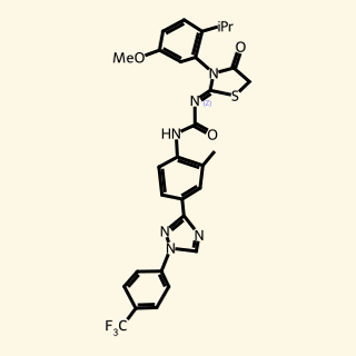 COc1ccc(C(C)C)c(N2C(=O)CS/C2=N\C(=O)Nc2ccc(-c3ncn(-c4ccc(C(F)(F)F)cc4)n3)cc2C)c1